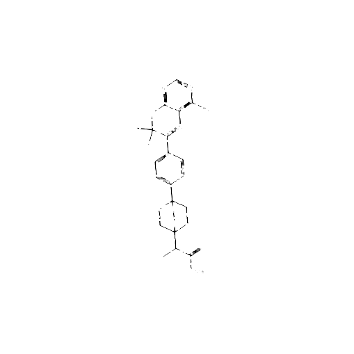 COC(=O)C(C)C12CCC(c3ccc(C4=Nc5c(N)ncnc5OC4(C)C)cc3)(CC1)CC2